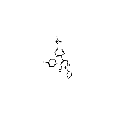 O=c1c(-c2ccc(F)cc2)c(-c2ccc(C[SH](=O)=O)cc2)cnn1C1CCCC1